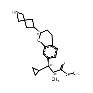 COC(=O)[C@H](C)[C@H](c1ccc2c(c1)O[C@@H](C1CC3(CNC3)C1)CC2)C1CC1